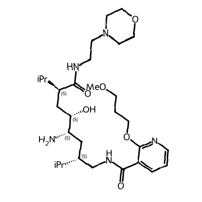 COCCCOc1ncccc1C(=O)NC[C@@H](C[C@H](N)[C@@H](O)C[C@H](C(=O)NCCN1CCOCC1)C(C)C)C(C)C